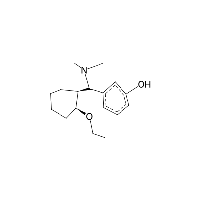 CCO[C@H]1CCCC[C@H]1C(c1cccc(O)c1)N(C)C